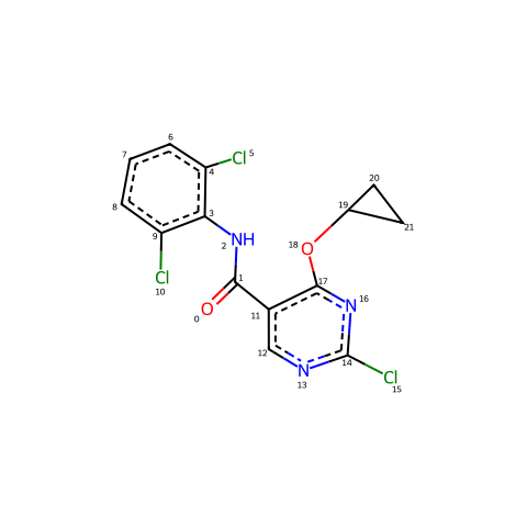 O=C(Nc1c(Cl)cccc1Cl)c1cnc(Cl)nc1OC1CC1